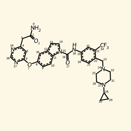 NC(=O)Cc1cc(Oc2ccc3c(ccn3C(=O)Nc3ccc(CN4CCN(C5CC5)CC4)c(C(F)(F)F)c3)c2)ncn1